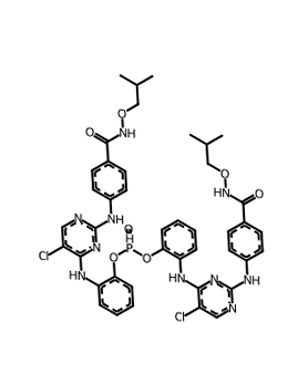 CC(C)CONC(=O)c1ccc(Nc2ncc(Cl)c(Nc3ccccc3O[PH](=O)Oc3ccccc3Nc3nc(Nc4ccc(C(=O)NOCC(C)C)cc4)ncc3Cl)n2)cc1